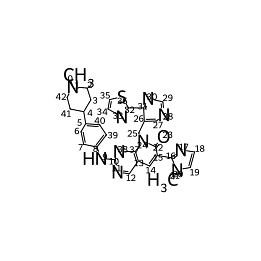 CN1CCC(c2ccc(Nc3ncc4cc(-c5nccn5C)c(=O)n(Cc5cncnc5-c5nccs5)c4n3)cc2)CC1